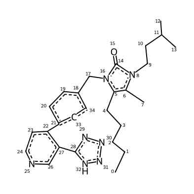 CCCCCc1c(C)n(CCC(C)C)c(=O)n1Cc1ccc(-c2ccncc2-c2nnn[nH]2)cc1